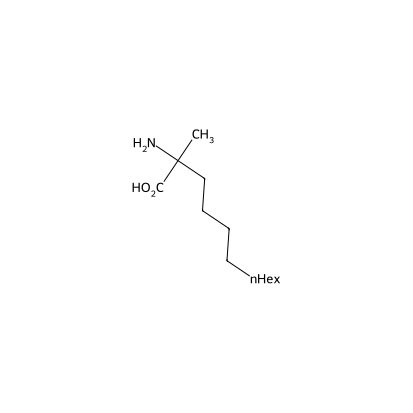 CCCCCCCCCCC(C)(N)C(=O)O